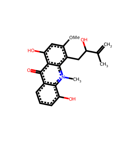 C=C(C)C(O)Cc1c(OC)cc(O)c2c(=O)c3cccc(O)c3n(C)c12